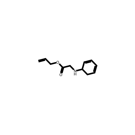 C=CCOC(=O)CNC1C=CC=CC1